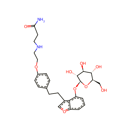 NC(=O)CCNCCOc1ccc(CCc2coc3cccc(O[C@@H]4O[C@H](CO)[C@@H](O)[C@H](O)[C@H]4O)c23)cc1